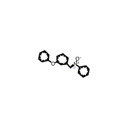 [O-]/[N+](=C\c1cccc(Oc2ccccc2)c1)c1ccccc1